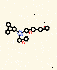 c1ccc2c(c1)oc1cc(-c3ccc4c(c3)oc3cc(-c5nc(-c6ccc7c8ccccc8c8ccccc8c7c6)nc(-c6cccc7oc8ccccc8c67)n5)ccc34)ccc12